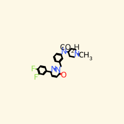 CN1CCC(N(C(=O)O)c2cccc(Cn3nc(-c4ccc(F)c(F)c4)ccc3=O)c2)CC1